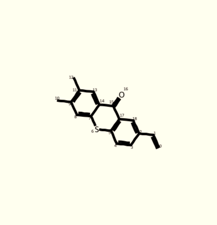 C=Cc1ccc2sc3cc(C)c(C)cc3c(=O)c2c1